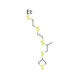 CCSCCSCCSC(C)CSC1CSC1